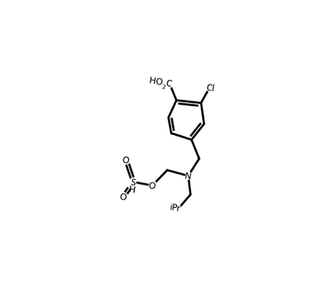 CC(C)CN(CO[SH](=O)=O)Cc1ccc(C(=O)O)c(Cl)c1